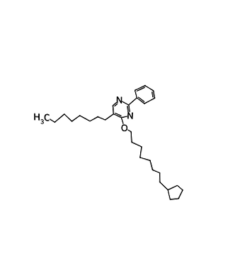 CCCCCCCCc1cnc(-c2ccccc2)nc1OCCCCCCCCC1CCCC1